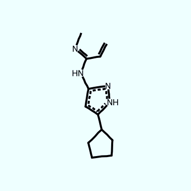 C=C/C(=N\C)Nc1cc(C2CCCC2)[nH]n1